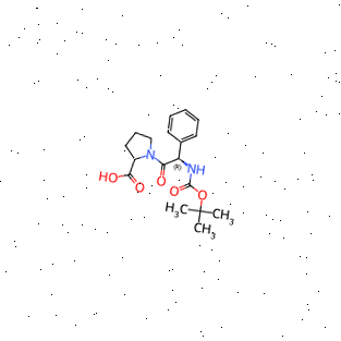 CC(C)(C)OC(=O)N[C@@H](C(=O)N1CCCC1C(=O)O)c1ccccc1